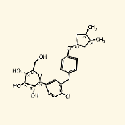 C[C@@H]1C[C@H](Oc2ccc(Cc3cc([C@@H]4O[C@H](CO)[C@@H](O)[C@H](O)[C@H]4O)ccc3Cl)cc2)C[C@@H]1C